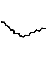 CCCCC/C=[C]/C/C=C\CCCCCCCC